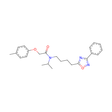 Cc1ccc(OCC(=O)N(CCCCc2nc(-c3ccccc3)no2)C(C)C)cc1